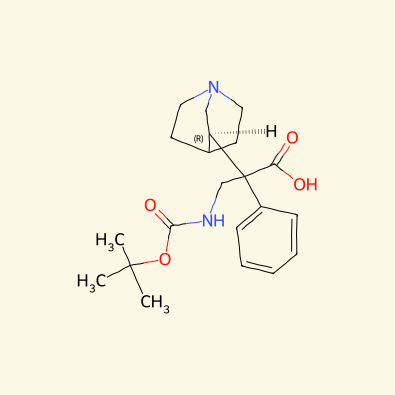 CC(C)(C)OC(=O)NCC(C(=O)O)(c1ccccc1)[C@@H]1CN2CCC1CC2